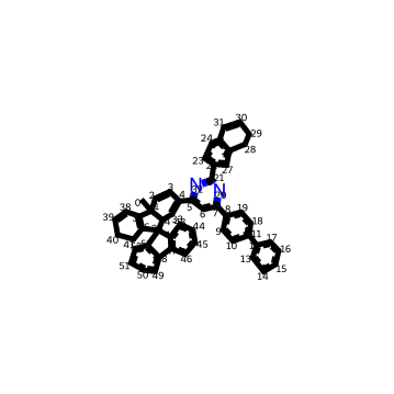 CC12C=CC(c3cc(-c4ccc(-c5ccccc5)cc4)nc(-c4ccc5c(c4)CCC=C5)n3)=CC1C1(C3=C2C=CCC3)c2ccccc2-c2ccccc21